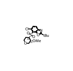 CO[C@@H]1COCC[C@H]1S(=O)(=O)c1c(Cl)ccc2nc(C(C)(C)C)oc12